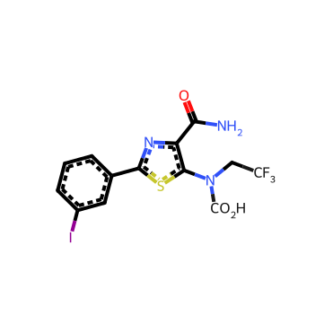 NC(=O)c1nc(-c2cccc(I)c2)sc1N(CC(F)(F)F)C(=O)O